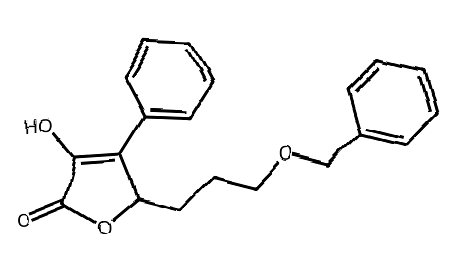 O=C1OC(CCCOCc2ccccc2)C(c2ccccc2)=C1O